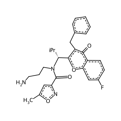 Cc1cc(C(=O)N(CCCN)[C@@H](c2oc3cc(F)ccc3c(=O)c2Cc2ccccc2)C(C)C)no1